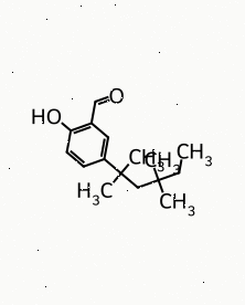 CCC(C)(C)CC(C)(C)c1ccc(O)c(C=O)c1